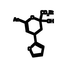 CCOC(=O)C1(O)CC(c2ccco2)C=C(C(C)=O)O1